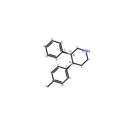 Cc1ccc([C@@H]2CCNC[C@@H]2c2ccccc2)cc1